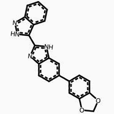 c1ccc2c(-c3nc4ccc(-c5ccc6c(c5)OCO6)cc4[nH]3)[nH]nc2c1